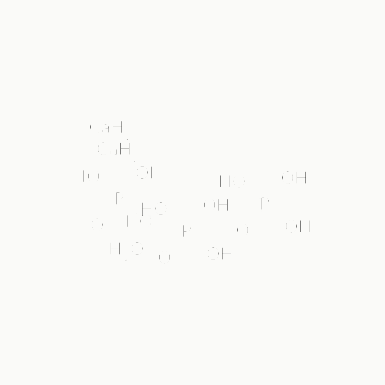 O.O=P(O)(O)O.O=P(O)(O)O.O=P(O)(O)O.[CaH2].[CaH2]